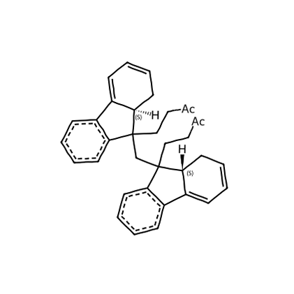 CC(=O)CCC1(CC2(CCC(C)=O)c3ccccc3C3=CC=CC[C@H]32)c2ccccc2C2=CC=CC[C@H]21